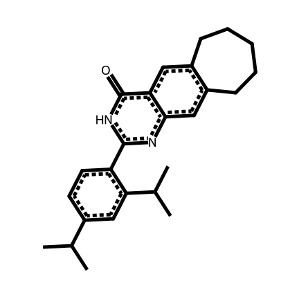 CC(C)c1ccc(-c2nc3cc4c(cc3c(=O)[nH]2)CCCCC4)c(C(C)C)c1